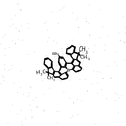 CC(C)(C)c1cc2c3c(c1)-c1c4c(cc5cccc(c15)B3c1cccc3cc5c(c-2c13)-c1ccccc1C5(C)C)C(C)(C)c1ccccc1-4